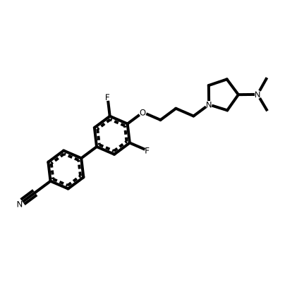 CN(C)C1CCN(CCCOc2c(F)cc(-c3ccc(C#N)cc3)cc2F)C1